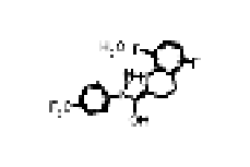 O.OC1=C2CCc3c(F)ccc(F)c3N2[N]N1c1ccc(C(F)(F)F)cc1